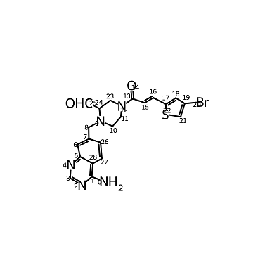 Nc1ncnc2cc(CN3CCN(C(=O)/C=C/c4cc(Br)cs4)CC3C=O)ccc12